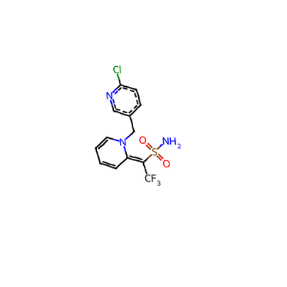 NS(=O)(=O)C(=C1C=CC=CN1Cc1ccc(Cl)nc1)C(F)(F)F